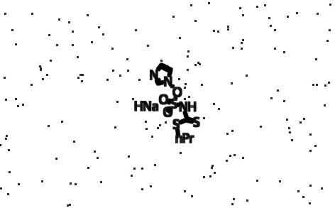 CCCSC(=S)NS(=O)(=O)On1ccnc1.[NaH]